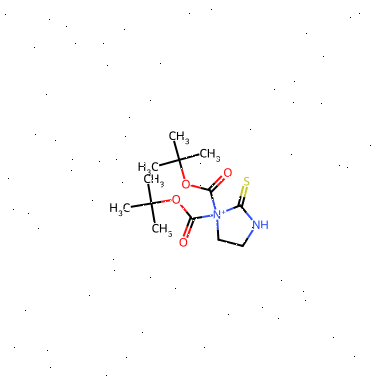 CC(C)(C)OC(=O)[N+]1(C(=O)OC(C)(C)C)CCNC1=S